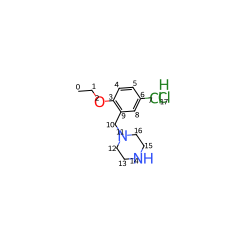 CCOc1ccc(Cl)cc1CN1CCNCC1.Cl